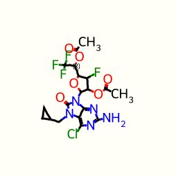 CC(=O)OC1C(F)C([C@@H](OC(C)=O)C(F)(F)F)OC1n1c(=O)n(CC2CC2)c2c(Cl)nc(N)nc21